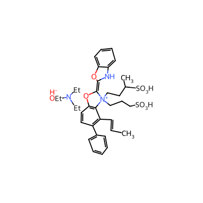 CC=Cc1c(-c2ccccc2)ccc2c1[N+](CCCS(=O)(=O)O)(CCC(C)S(=O)(=O)O)C(=C1Nc3ccccc3O1)O2.CCN(CC)CC.[OH-]